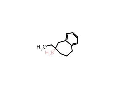 BC1(CC)CCCc2ccccc2C1